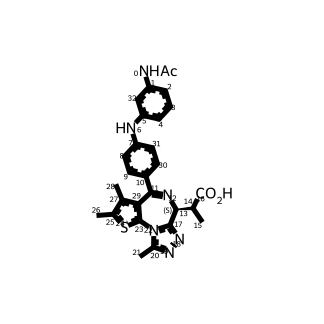 CC(=O)Nc1cccc(Nc2ccc(C3=N[C@@H](C(C)C(=O)O)c4nnc(C)n4-c4sc(C)c(C)c43)cc2)c1